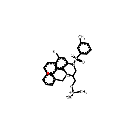 Cc1cccc(S(=O)(=O)N(CC(CO[SiH](C)C(C)(C)C)N(Cc2ccccc2)Cc2ccccc2)c2cc(Br)cnc2Cl)c1